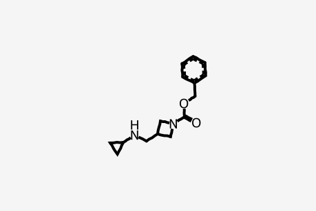 O=C(OCc1ccccc1)N1CC(CNC2CC2)C1